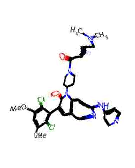 COc1cc(OC)c(Cl)c(-c2cc3cnc(Nc4ccncc4)cc3n(C3CCN(C(=O)/C=C/CN(C)C)CC3)c2=O)c1Cl